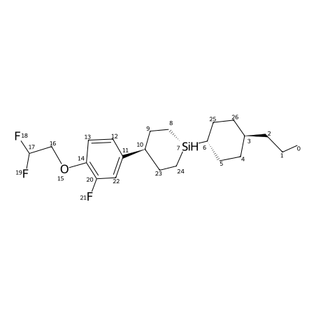 CCC[C@H]1CC[C@H]([Si@H]2CC[C@H](c3ccc(OCC(F)F)c(F)c3)CC2)CC1